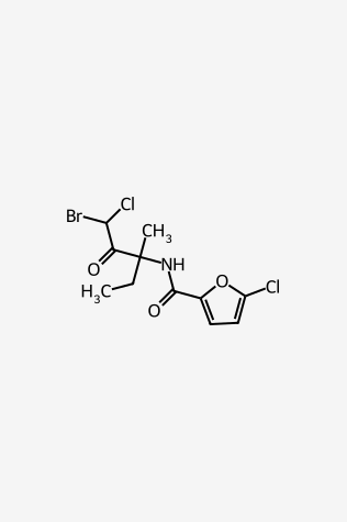 CCC(C)(NC(=O)c1ccc(Cl)o1)C(=O)C(Cl)Br